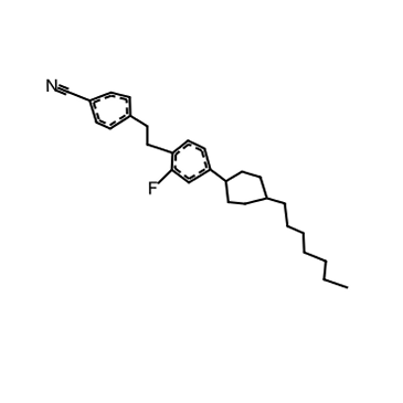 CCCCCCCC1CCC(c2ccc(CCc3ccc(C#N)cc3)c(F)c2)CC1